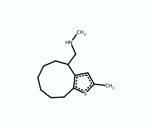 CNCC1CCCCCCc2sc(C)cc21